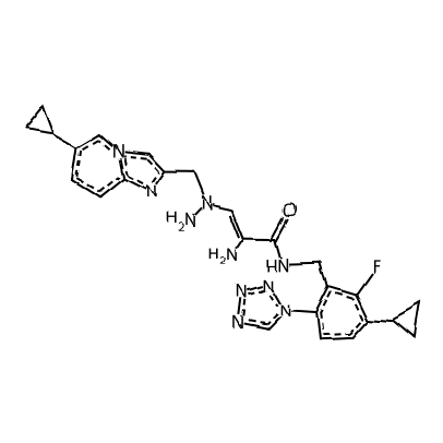 N/C(=C\N(N)Cc1cn2cc(C3CC3)ccc2n1)C(=O)NCc1c(-n2cnnn2)ccc(C2CC2)c1F